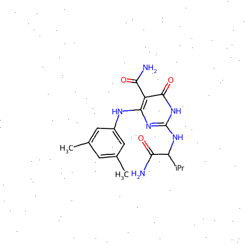 Cc1cc(C)cc(Nc2nc(NC(C(N)=O)C(C)C)[nH]c(=O)c2C(N)=O)c1